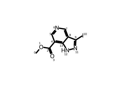 COC(=O)c1cncc2c(I)n[nH]c12